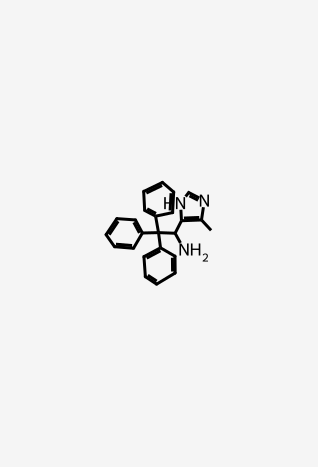 Cc1nc[nH]c1C(N)C(c1ccccc1)(c1ccccc1)c1ccccc1